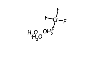 O.O.O.[F][Cr]([F])([F])[F]